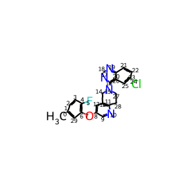 Cc1ccc(F)c(Oc2cnc3c(c2)CN(c2ncnc4ccc(Cl)cc24)CC3)c1